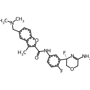 Cc1c(C(=O)Nc2ccc(F)c([C@]3(F)COCC(N)=N3)c2)oc2ccc(CN(C)C)cc12